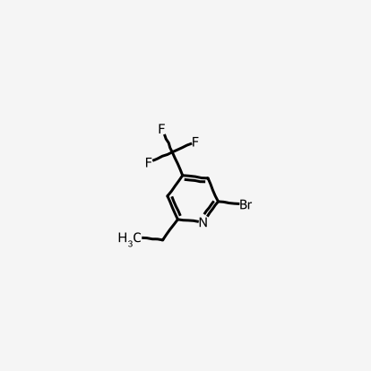 CCc1cc(C(F)(F)F)cc(Br)n1